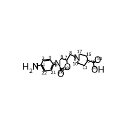 Nc1ccc(N2CC(CN3CCC(C(=O)O)CC3)OC2=O)cc1